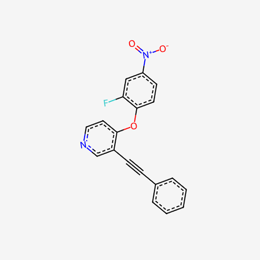 O=[N+]([O-])c1ccc(Oc2ccncc2C#Cc2ccccc2)c(F)c1